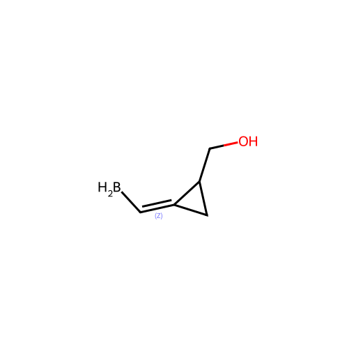 B/C=C1/CC1CO